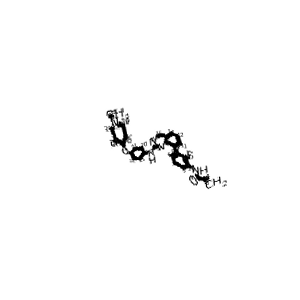 C=CC(=O)Nc1cccc(-c2cccc3cnc(Nc4ccc(OC5CCN(C)CC5F)cc4)nc23)c1F